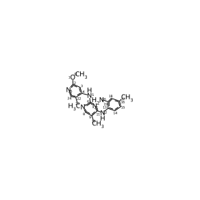 COc1cc(Nc2ncc(C)c(Nc3ccc(C)cc3N)n2)c(C)cn1